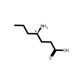 CCC[C@@H](N)CCC(O)=S